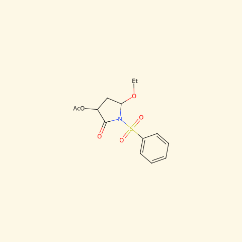 CCOC1CC(OC(C)=O)C(=O)N1S(=O)(=O)c1ccccc1